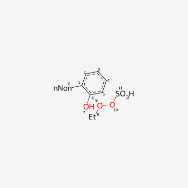 CCCCCCCCCc1ccccc1O.CCOOS(=O)(=O)O